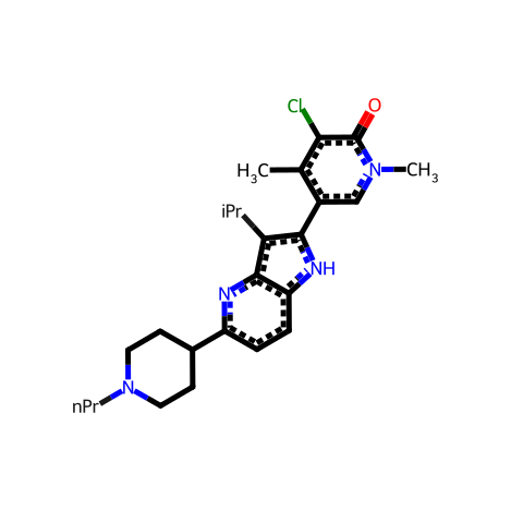 CCCN1CCC(c2ccc3[nH]c(-c4cn(C)c(=O)c(Cl)c4C)c(C(C)C)c3n2)CC1